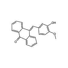 COc1ccc(C=C2c3ccccc3C(=O)c3ccccc32)cc1O